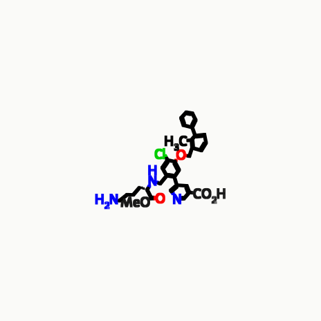 COC(=O)[C@H](CCCCN)NCc1cc(Cl)c(OCc2cccc(-c3ccccc3)c2C)cc1-c1cncc(C(=O)O)c1